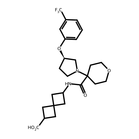 O=C(O)C1CC2(CC(NC(=O)C3(N4CC[C@@H](Oc5cccc(C(F)(F)F)c5)C4)CCOCC3)C2)C1